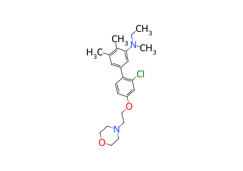 CCN(C)c1cc(-c2ccc(OCCN3CCOCC3)cc2Cl)cc(C)c1C